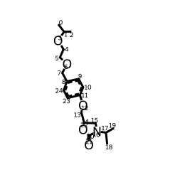 CC(C)OCCOCc1ccc(OCC2CN(C(C)C)C(=O)O2)cc1